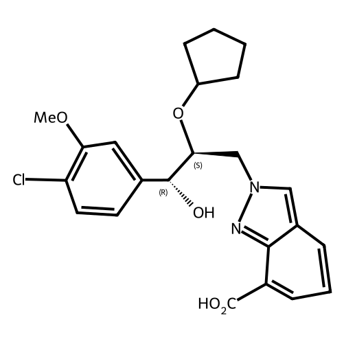 COc1cc([C@@H](O)[C@H](Cn2cc3cccc(C(=O)O)c3n2)OC2CCCC2)ccc1Cl